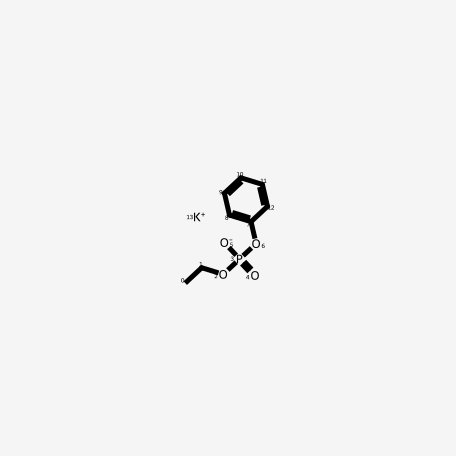 CCOP(=O)([O-])Oc1ccccc1.[K+]